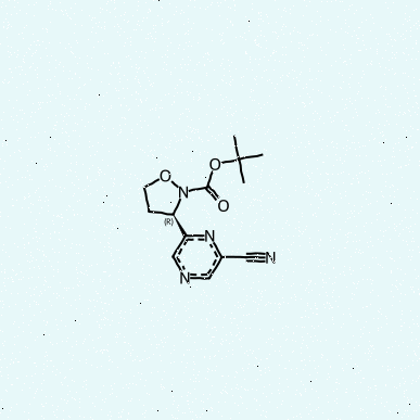 CC(C)(C)OC(=O)N1OCC[C@@H]1c1cncc(C#N)n1